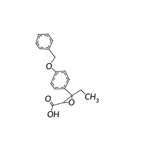 CCC1(c2ccc(OCc3ccccc3)cc2)OC1C(=O)O